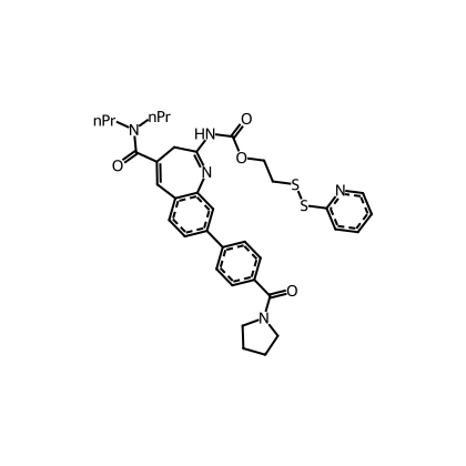 CCCN(CCC)C(=O)C1=Cc2ccc(-c3ccc(C(=O)N4CCCC4)cc3)cc2N=C(NC(=O)OCCSSc2ccccn2)C1